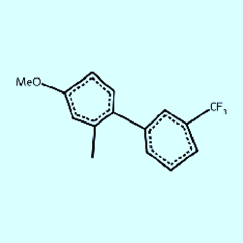 COc1ccc(-c2cccc(C(F)(F)F)c2)c(C)c1